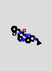 O=C(CNc1cccc2c1CCN(CC1CC1)C2)N(Cc1ccccc1C(F)(F)F)CC1CCNC1